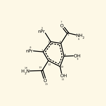 CCCc1c(CCC)c(C(N)=O)c(O)c(O)c1C(N)=O